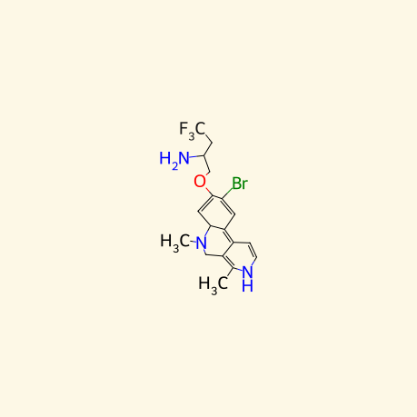 CC1=C2CN(C)C3C=C(OCC(N)CC(F)(F)F)C(Br)=CC3=C2C=CN1